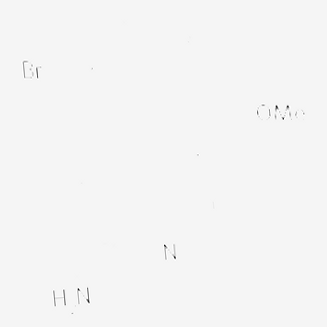 COc1ccc(Br)c2cc(N)ncc12